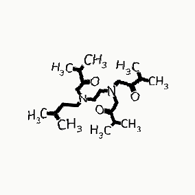 CC(C)CCN(CCN(CC(=O)C(C)C)CC(=O)C(C)C)CC(=O)C(C)C